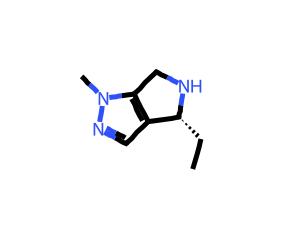 CC[C@H]1NCc2c1cnn2C